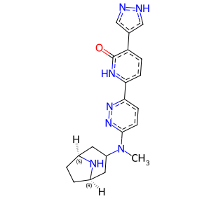 CN(c1ccc(-c2ccc(-c3cn[nH]c3)c(=O)[nH]2)nn1)C1C[C@H]2CC[C@@H](C1)N2